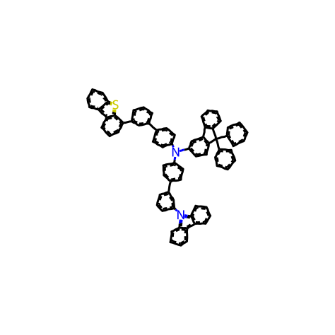 c1ccc(C2(c3ccccc3)c3ccccc3-c3cc(N(c4ccc(-c5cccc(-c6cccc7c6sc6ccccc67)c5)cc4)c4ccc(-c5cccc(-n6c7ccccc7c7ccccc76)c5)cc4)ccc32)cc1